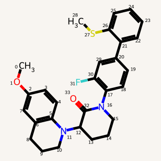 COc1ccc2c(c1)CCCN2C1CCCN(c2ccc(-c3ccccc3SC)cc2F)C1=O